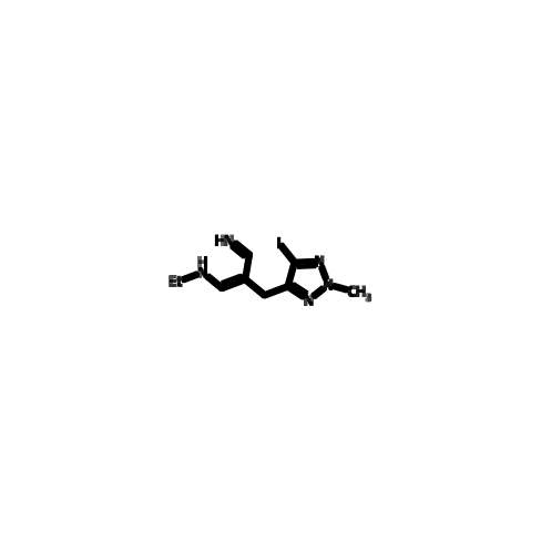 CCN/C=C(\C=N)Cc1nn(C)nc1I